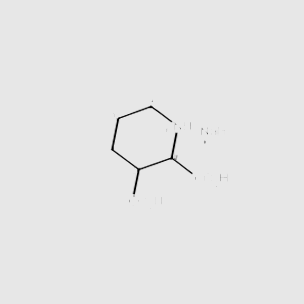 O=C(O)C1CCCNC1C(=O)O.[NaH]